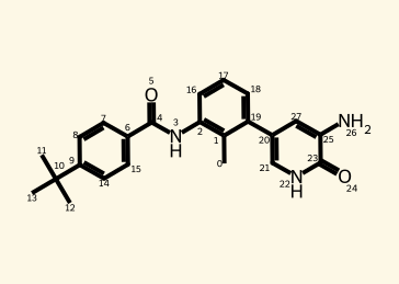 Cc1c(NC(=O)c2ccc(C(C)(C)C)cc2)cccc1-c1c[nH]c(=O)c(N)c1